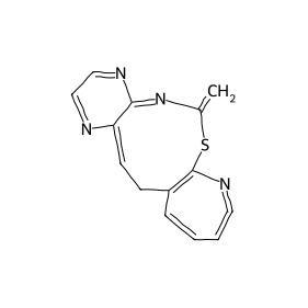 C=C1/N=c2/nccn/c2=C/CC2=C(N=C=CC=C2)S1